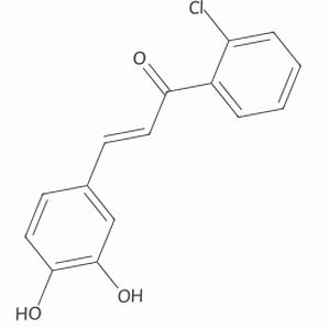 O=C(C=Cc1ccc(O)c(O)c1)c1ccccc1Cl